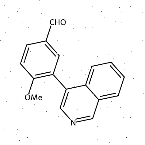 COc1ccc(C=O)cc1-c1cncc2ccccc12